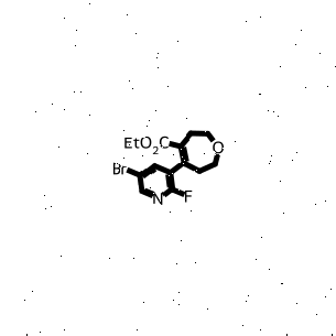 CCOC(=O)C1=C(c2cc(Br)cnc2F)CCOCC1